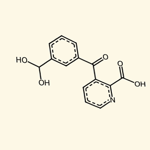 O=C(c1cccc(C(O)O)c1)c1cccnc1C(=O)O